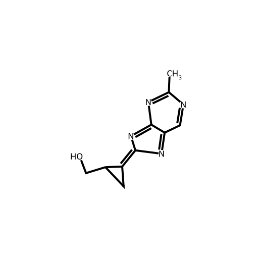 Cc1ncc2c(n1)=NC(=C1CC1CO)N=2